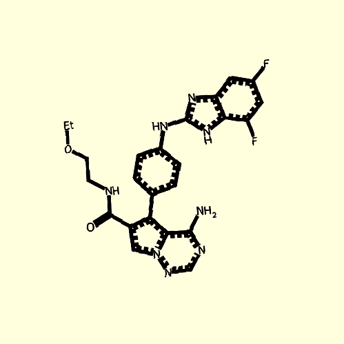 CCOCCNC(=O)c1cn2ncnc(N)c2c1-c1ccc(Nc2nc3cc(F)cc(F)c3[nH]2)cc1